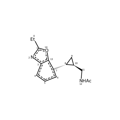 CCc1nc2cccc([C@@H]3C[C@H]3CNC(C)=O)c2o1